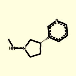 CNN1CC[C@@H](c2cccnc2)C1